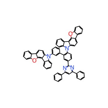 c1ccc(-c2cc(-c3ccccc3)nc(-c3ccc(-n4c5ccccc5c5c6oc7ccccc7c6ccc54)c(-c4cccc(-n5c6ccccc6c6c7oc8ccccc8c7ccc65)c4)c3)n2)cc1